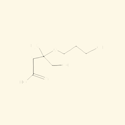 [CH2]C(CC)(CC(=O)O)OCCCC